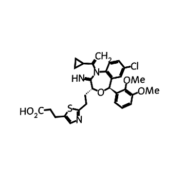 C=C(C1CC1)N1C(=N)[C@@H](CCc2ncc(CCC(=O)O)s2)O[C@H](c2cccc(OC)c2OC)c2cc(Cl)ccc21